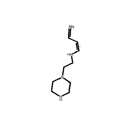 N=C/C=C\NCCN1CCNCC1